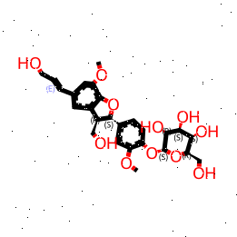 COc1cc([C@H]2Oc3c(OC)cc(/C=C/CO)cc3[C@@H]2CO)ccc1O[C@@H]1O[C@H](CO)[C@@H](O)[C@H](O)[C@H]1O